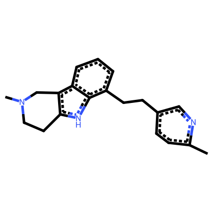 Cc1ccc(CCc2cccc3c4c([nH]c23)CCN(C)C4)cn1